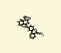 NC(=O)c1ccncc1-c1cccc(Nc2nc(=O)n(O)c3ncccc23)c1